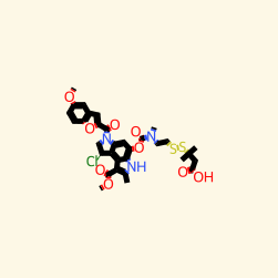 COC(=O)c1c(C)[nH]c2c(OC(=O)N(C)CCSSC(C)(C)CC(=O)O)cc3c(c12)[C@H](Cl)CN3C(=O)c1cc2cc(OC)ccc2o1